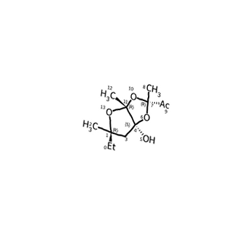 CC[C@]1(C)C[C@]2(O)O[C@@](C)(C(C)=O)O[C@@]2(C)O1